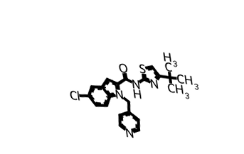 CC(C)(C)c1csc(NC(=O)c2cc3cc(Cl)ccc3n2Cc2ccncc2)n1